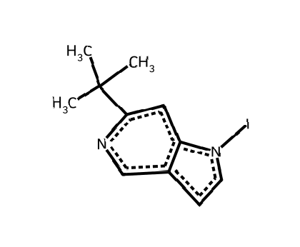 CC(C)(C)c1cc2c(ccn2I)cn1